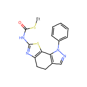 CCSC(=O)Nc1nc2c(s1)-c1c(cnn1-c1ccccc1)CC2